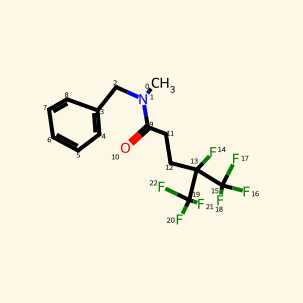 CN(Cc1ccccc1)C(=O)CCC(F)(C(F)(F)F)C(F)(F)F